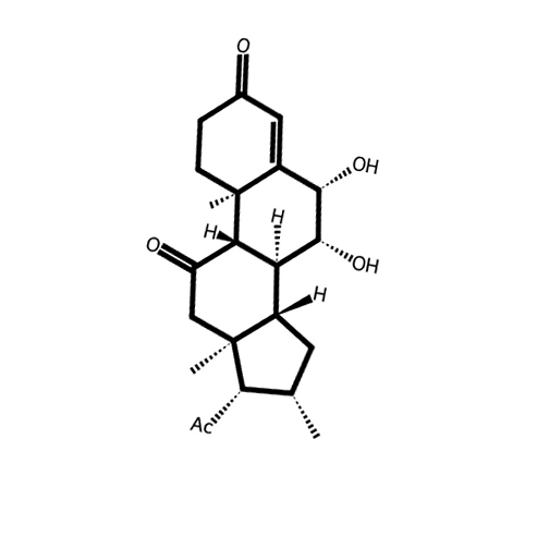 CC(=O)[C@H]1[C@@H](C)C[C@H]2[C@@H]3[C@@H](O)[C@@H](O)C4=CC(=O)CC[C@]4(C)[C@H]3C(=O)C[C@@]21C